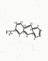 FC(F)(F)c1[c]c2cc3ccccc3cc2cc1